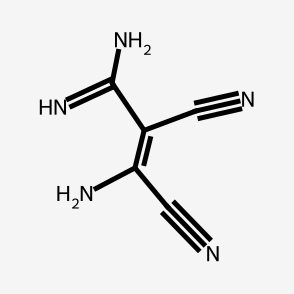 N#CC(N)=C(C#N)C(=N)N